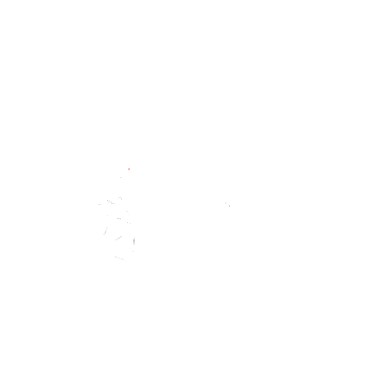 C=CC12CCc3cc(O)ccc3[C@H]1[C@@H](CCCCCCCN(C)CCCCCCC(F)(F)C(F)(F)C(F)(F)F)C[C@]1(C)[C@@H](O)CC[C@@H]21